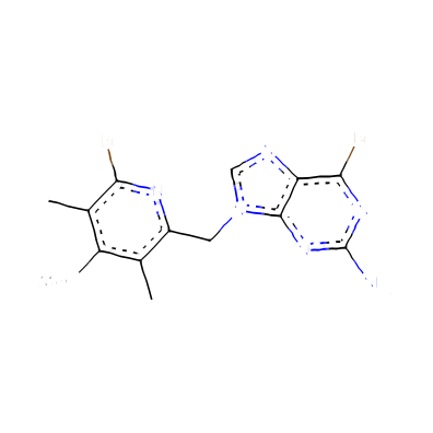 COc1c(C)c(Br)nc(Cn2cnc3c(Br)nc(N)nc32)c1C